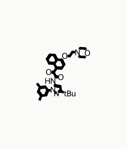 Cc1cc(C)cc(-n2nc(C(C)(C)C)cc2NC(=O)C(=O)c2ccc(OCCN3CCOCC3)c3ccccc23)c1